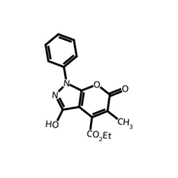 CCOC(=O)c1c(C)c(=O)oc2c1c(O)nn2-c1ccccc1